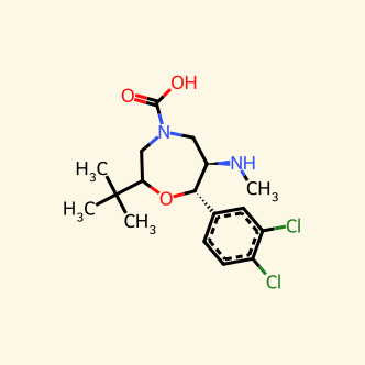 CN[C@@H]1CN(C(=O)O)CC(C(C)(C)C)O[C@H]1c1ccc(Cl)c(Cl)c1